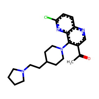 CC(=O)c1cnc2ccc(Cl)nc2c1N1CCC(CCN2CCCC2)CC1